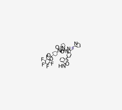 CNC(=O)c1ccccc1Sc1ccc2c(/C=C/c3ccccn3)nn(C(=O)N3CCC[C@H]3C(=O)N[C@H]3CC[C@H](C(=O)Oc4c(F)c(F)c(F)c(F)c4F)CC3)c2c1